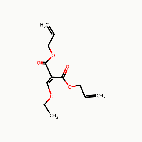 C=CCOC(=O)C(=COCC)C(=O)OCC=C